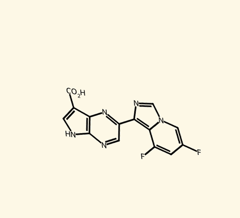 O=C(O)c1c[nH]c2ncc(-c3ncn4cc(F)cc(F)c34)nc12